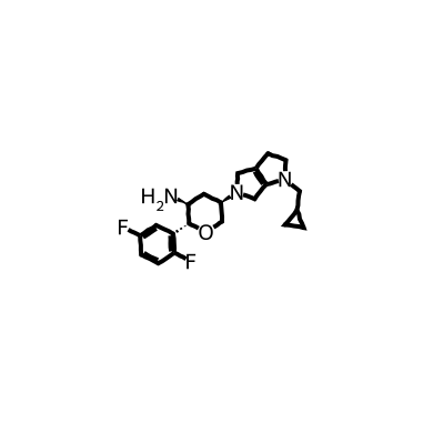 N[C@H]1C[C@@H](N2CC3=C(C2)N(CC2CC2)CC3)CO[C@@H]1c1cc(F)ccc1F